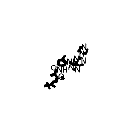 C=C(C(=O)Nc1ccc(C)c(Nc2ncnc3cnc(N4CCN(C)CC4)nc23)c1)/C(=C\C=C(/C)C(C)(C)C)OC